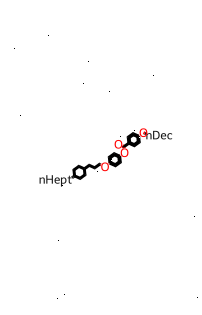 CCCCCCCCCCOc1ccc(C(=O)Oc2ccc(OCCCC3CCC(CCCCCCC)CC3)cc2)cc1